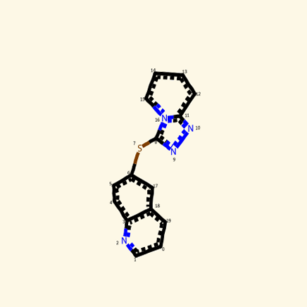 c1cnc2ccc(Sc3nnc4ccccn34)cc2c1